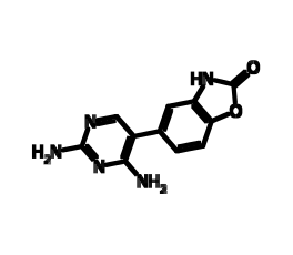 Nc1ncc(-c2ccc3oc(=O)[nH]c3c2)c(N)n1